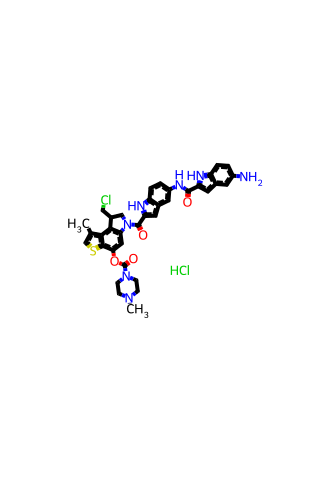 Cc1csc2c(OC(=O)N3CCN(C)CC3)cc3c(c12)C(CCl)CN3C(=O)c1cc2cc(NC(=O)c3cc4cc(N)ccc4[nH]3)ccc2[nH]1.Cl